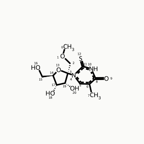 COC[C@@]1(n2cc(C)c(=O)[nH]c2=S)O[C@H](CO)[C@@H](O)[C@H]1O